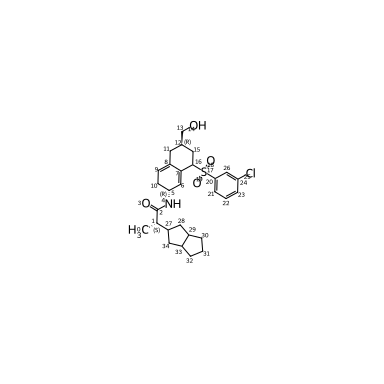 C[C@H](C(=O)N[C@H]1C=C2C(=CC1)C[C@@H](CO)CC2S(=O)(=O)c1cccc(Cl)c1)C1CC2CCCC2C1